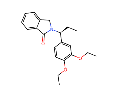 CCOc1ccc([C@H](CC)N2Cc3ccccc3C2=O)cc1OCC